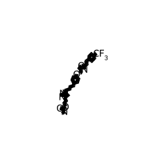 CN(C)C(=O)OCCc1cn(CCCCc2ccc(OCc3coc(/C=C/c4ccc(C(F)(F)F)cc4)n3)cc2)nn1